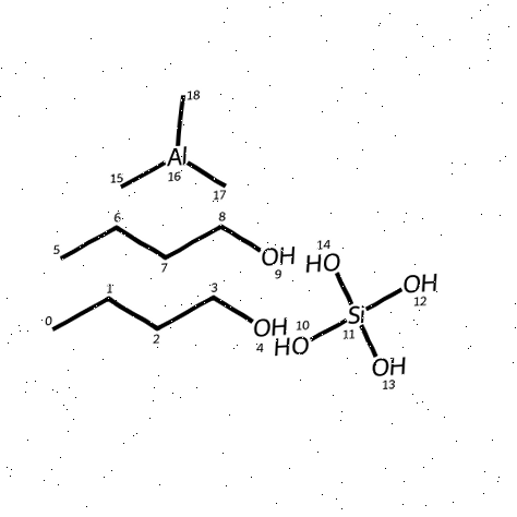 CCCCO.CCCCO.O[Si](O)(O)O.[CH3][Al]([CH3])[CH3]